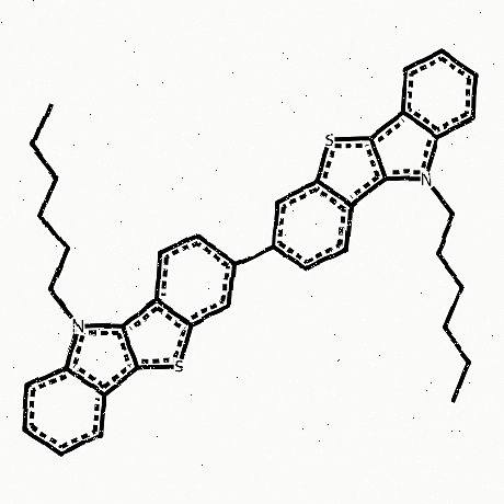 CCCCCCn1c2ccccc2c2sc3cc(-c4ccc5c(c4)sc4c6ccccc6n(CCCCCC)c54)ccc3c21